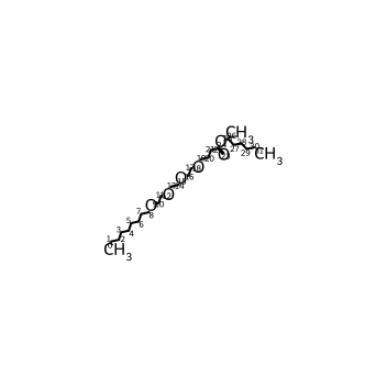 CCCCCCCCCOCCOCCOCCOCCCC(=O)OC(C)CCCCC